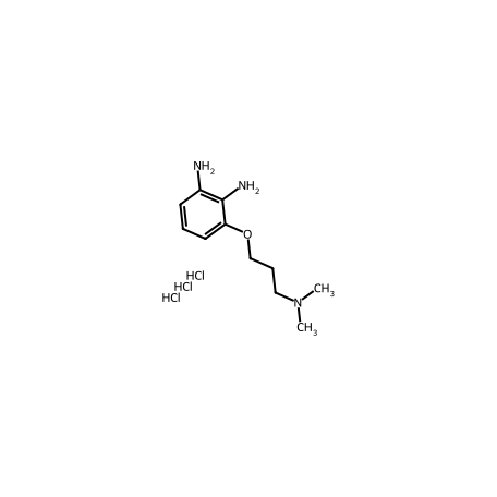 CN(C)CCCOc1cccc(N)c1N.Cl.Cl.Cl